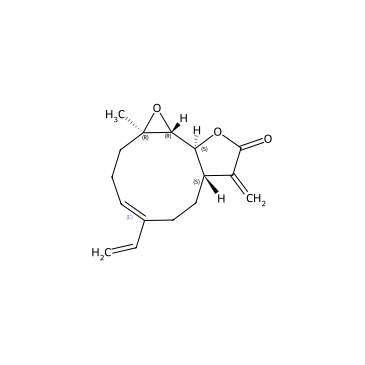 C=C/C1=C/CC[C@@]2(C)O[C@@H]2[C@H]2OC(=O)C(=C)[C@@H]2CC1